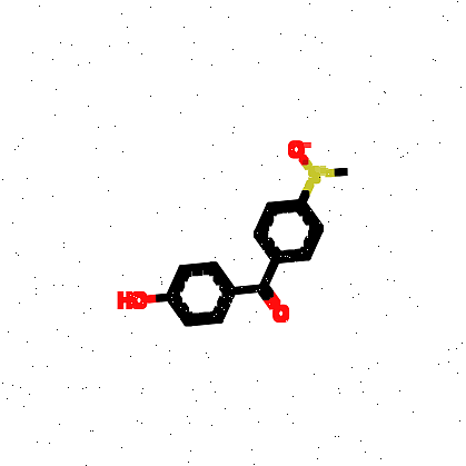 C[S+]([O-])c1ccc(C(=O)c2ccc(O)cc2)cc1